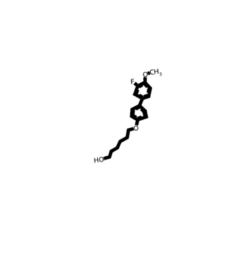 COc1ccc(-c2ccc(OCCCCCCO)cc2)cc1F